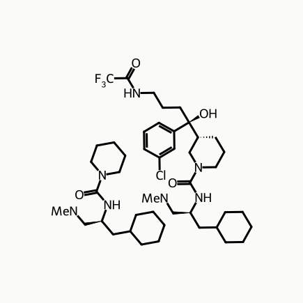 CNC[C@H](CC1CCCCC1)NC(=O)N1CCCCC1.CNC[C@H](CC1CCCCC1)NC(=O)N1CCC[C@@H]([C@@](O)(CCCNC(=O)C(F)(F)F)c2cccc(Cl)c2)C1